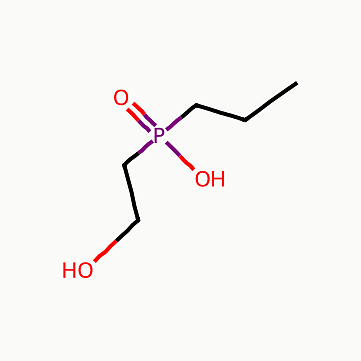 CCCP(=O)(O)CCO